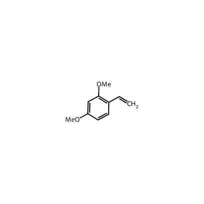 C=Cc1ccc(OC)cc1OC